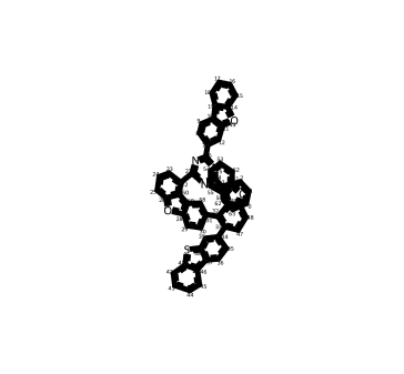 c1ccc(-c2nc(-c3ccc4c(c3)oc3ccccc34)nc(-c3cccc4oc5ccc(-c6c(-c7ccc8c(c7)sc7ccccc78)ccc7oc8ccccc8c67)cc5c34)n2)cc1